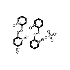 O=S(=O)([O-])[O-].[K+].[K+].[O-][n+]1ccccc1SSc1cccc[n+]1[O-].[O-][n+]1ccccc1SSc1cccc[n+]1[O-]